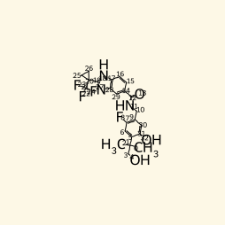 CC(C)(CO)c1cc(F)c(CNC(=O)c2ccc3[nH]c(C4(C(F)(F)F)CC4)nc3c2)cc1O